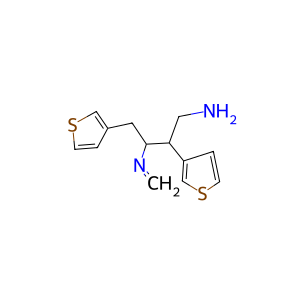 C=NC(Cc1ccsc1)C(CN)c1ccsc1